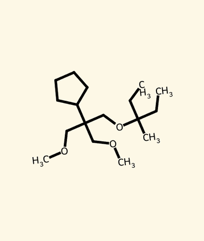 CCC(C)(CC)OCC(COC)(COC)C1CCCC1